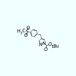 CC(C)(C)OC(=O)n1cc(Cc2ccc(S(C)(=O)=O)cc2)cn1